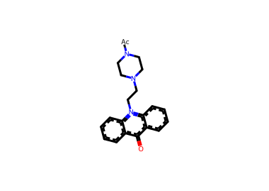 CC(=O)N1CCN(CCn2c3ccccc3c(=O)c3ccccc32)CC1